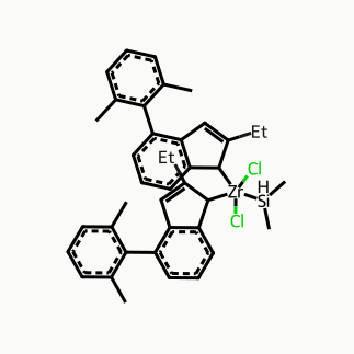 CCC1=Cc2c(-c3c(C)cccc3C)cccc2[CH]1[Zr]([Cl])([Cl])([CH]1C(CC)=Cc2c(-c3c(C)cccc3C)cccc21)[SiH](C)C